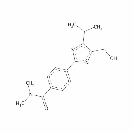 CC(C)c1sc(-c2ccc(C(=O)N(C)C)cc2)nc1CO